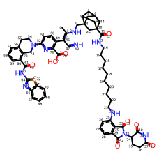 C/C(NCC12CC3CC1CC(C(=O)NCCCCCCCCCCNc1cccc4c1C(=O)N(C1CCC(=O)NC1=O)C4=O)(C3)C2)=C(/C=N)c1ccc(N2CCc3cccc(C(=O)Nc4nc5ccccc5s4)c3C2)nc1C(=O)O